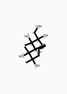 C=CCC(C)(O)C(C)(O)C(C)(O)C(C)(O)C(C)(O)CO